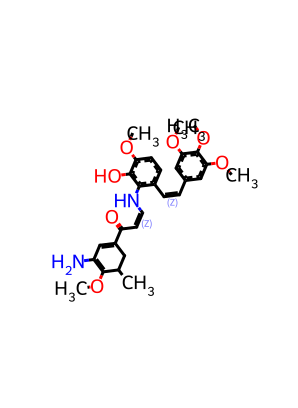 COC1=C(N)C=C(C(=O)/C=C\Nc2c(/C=C\c3cc(OC)c(OC)c(OC)c3)ccc(OC)c2O)CC1C